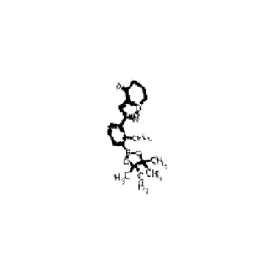 Cc1c(B2OC(C)(C)C(C)(C)O2)cccc1-c1cc2n(n1)CCCC2=O